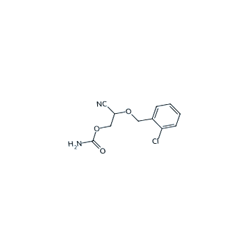 N#CC(COC(N)=O)OCc1ccccc1Cl